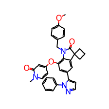 COc1ccc(CN2C(=O)C3(CCC3)c3cc(-c4ccnn4-c4ccccc4)cc(Oc4ccn(C)c(=O)c4)c32)cc1